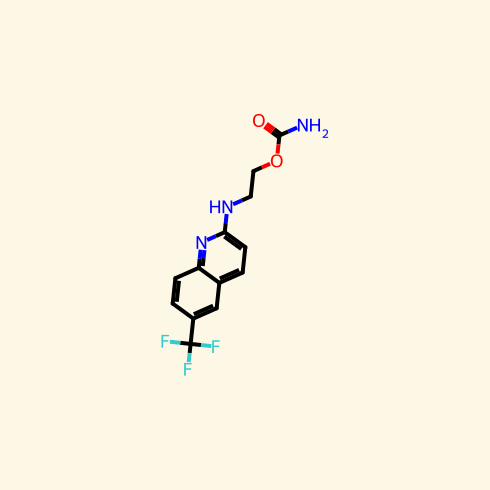 NC(=O)OCCNc1ccc2cc(C(F)(F)F)ccc2n1